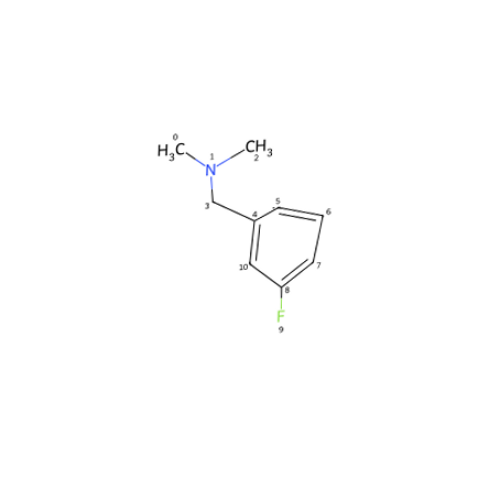 CN(C)Cc1[c]ccc(F)c1